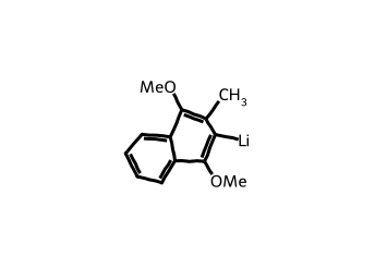 [Li][c]1c(C)c(OC)c2ccccc2c1OC